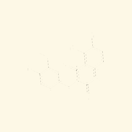 COc1cc(Cn2c(=O)oc3ccc(O)c(O)c3c2=O)ccc1O